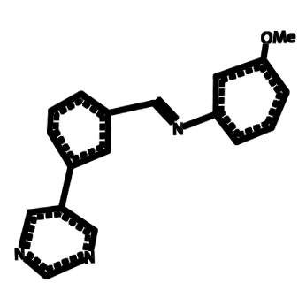 COc1cccc(N=Cc2cccc(-c3cncnc3)c2)c1